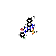 CCS(=O)(=O)CCC1CN(c2cccc(Cl)c2)C(=O)CN1C(Cc1ccc(C#N)cc1)c1cnc[nH]1